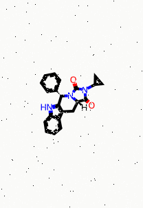 O=C1[C@@H]2Cc3c([nH]c4ccccc34)[C@H](c3ccccc3)N2C(=O)N1C1CC1